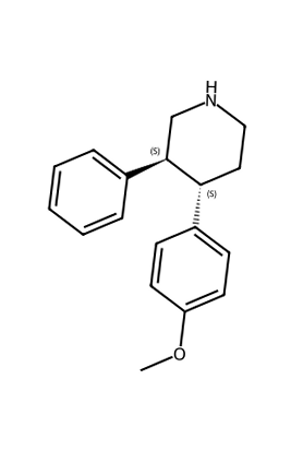 COc1ccc([C@H]2CCNC[C@@H]2c2ccccc2)cc1